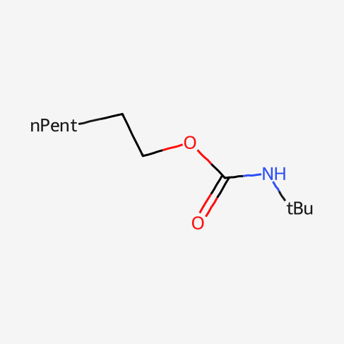 CCCCCCCOC(=O)NC(C)(C)C